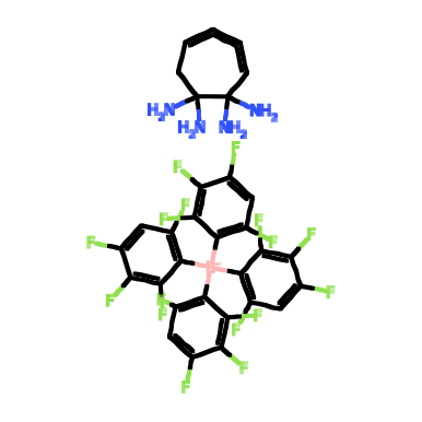 Fc1cc(F)c([B-](c2c(F)cc(F)c(F)c2F)(c2c(F)cc(F)c(F)c2F)c2c(F)cc(F)c(F)c2F)c(F)c1F.NC1(N)C=C=C=CCC1(N)N